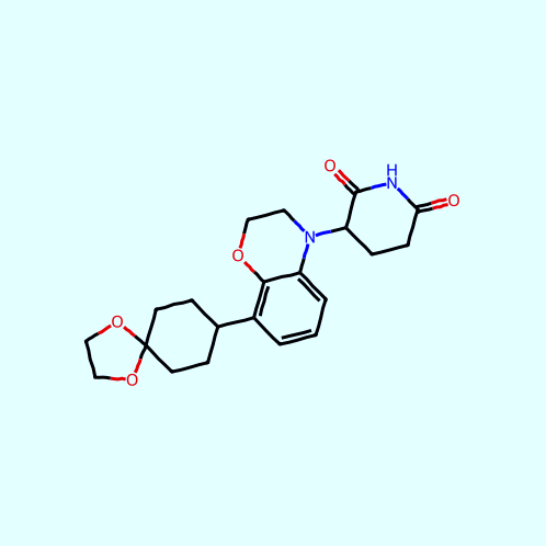 O=C1CCC(N2CCOc3c(C4CCC5(CC4)OCCO5)cccc32)C(=O)N1